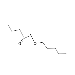 CCCCC[O][Al][C](=O)CCC